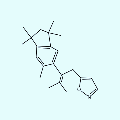 CC(C)=C(Cc1ccno1)c1cc2c(cc1C)C(C)(C)CC2(C)C